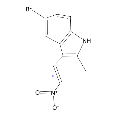 Cc1[nH]c2ccc(Br)cc2c1/C=C/[N+](=O)[O-]